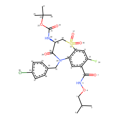 CC(C)CONC(=O)c1cc2c(cc1F)S(=O)(=O)C[C@H](NC(=O)OC(C)(C)C)C(=O)N2Cc1ccc(Cl)cc1